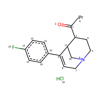 CC(C)C(=O)C1CCN2CC=C(c3ccc(F)cc3)C1C2.Cl